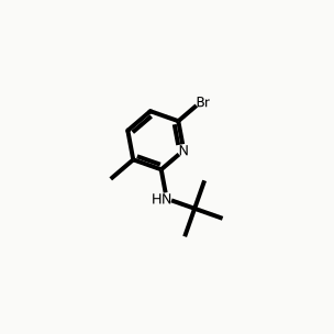 Cc1ccc(Br)nc1NC(C)(C)C